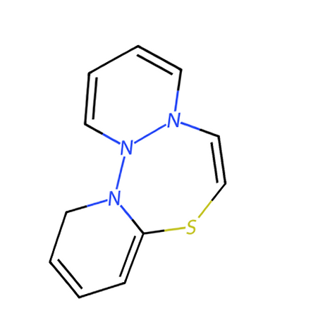 C1=CCN2C(=C1)SC=CN1C=CC=CN12